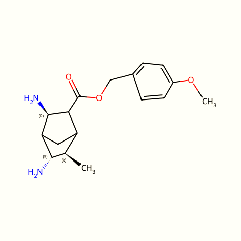 COc1ccc(COC(=O)C2C3CC([C@H]2N)[C@@H](N)[C@@H]3C)cc1